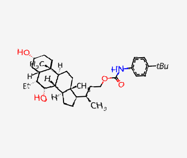 CC[C@H]1[C@@H](O)[C@@H]2[C@H](CC[C@]3(C)[C@@H]([C@H](C)CCOC(=O)Nc4ccc(C(C)(C)C)cc4)CC[C@@H]23)[C@@]2(C)CC[C@@H](O)C[C@@H]12